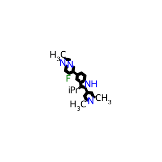 Cc1cc(-c2[nH]c3ccc(-c4cn5cc(C)nc5cc4F)cc3c2C(C)C)cc(C)n1